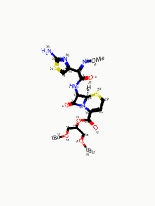 CO/N=C(\C(=O)NC1C(=O)N2C(C(=O)OC(COC(C)(C)C)COC(C)(C)C)=CCS[C@H]12)c1csc(N)n1